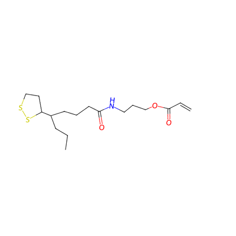 C=CC(=O)OCCCNC(=O)CCCC(CCC)C1CCSS1